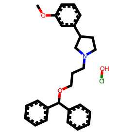 COc1cccc(C2CCN(CCCOC(c3ccccc3)c3ccccc3)C2)c1.OCl